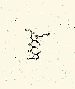 CSNCC(NC(=O)BN1C(=O)C=CC1=O)C(=O)NCC(=O)O